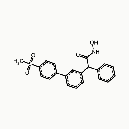 CS(=O)(=O)c1ccc(-c2cccc(C(C(=O)NO)c3ccccc3)c2)cc1